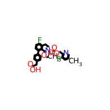 CCOc1cc(CC(=O)O)ccc1-c1ccc(F)c2c1CN(OC(=O)OCc1ncc(C)cc1F)CC2